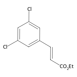 CCOC(=O)/C=C/c1cc(Cl)cc(Cl)c1